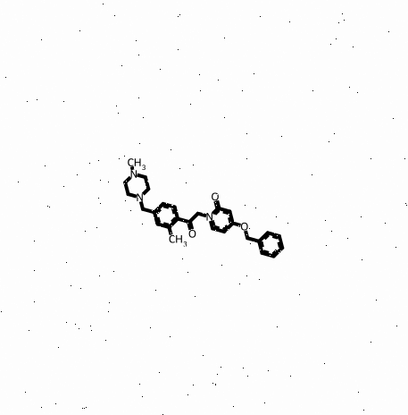 Cc1cc(CN2CCN(C)CC2)ccc1C(=O)Cn1ccc(OCc2ccccc2)cc1=O